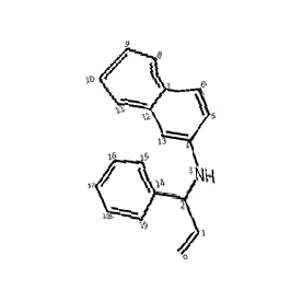 C=CC(Nc1ccc2ccccc2c1)c1ccccc1